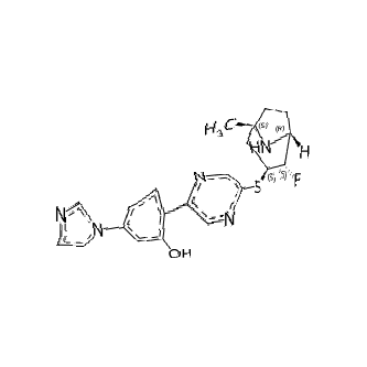 C[C@@]12CC[C@@H](N1)[C@H](F)[C@@H](Sc1cnc(-c3ccc(-n4ccnc4)cc3O)cn1)C2